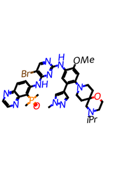 COc1cc(N2CCC3(CC2)CN(C(C)C)CCO3)c(-c2cnn(C)c2)cc1Nc1ncc(Br)c(Nc2ccc3nccnc3c2P(C)(C)=O)n1